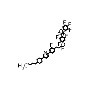 CCCCCC1CCC(c2ccc(-c3ccc(CCC(F)(F)Oc4cc(F)c(C(F)(F)Oc5cc(F)c(F)c(F)c5)c(F)c4)c(F)c3)nc2)CC1